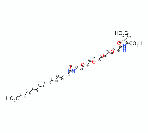 O=C(O)CCCCCCCCCCCCCCCCC(=O)NCCOCCOCCOCCOCCC(=O)N[C@@H](CCC(=O)O)C(=O)O